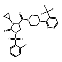 O=C(C1CN(S(=O)(=O)c2ccccc2Cl)C(=O)N1C1CC1)N1CCN(c2ncccc2C(F)(F)F)CC1